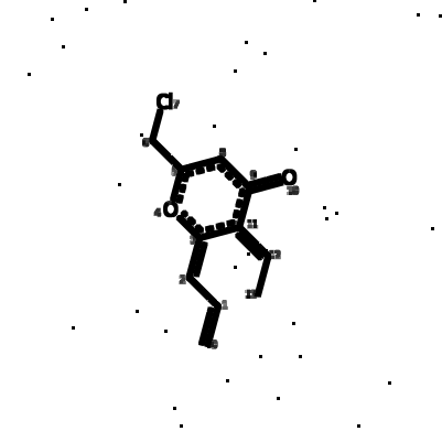 C=C/C=c1/oc(CCl)cc(=O)/c1=C/C